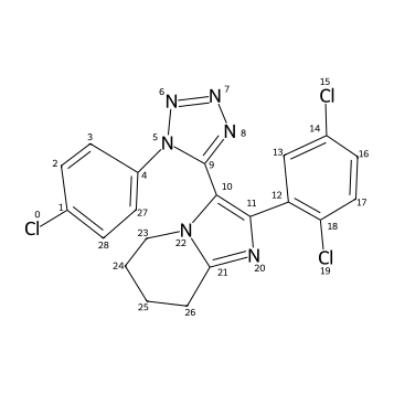 Clc1ccc(-n2nnnc2-c2c(-c3cc(Cl)ccc3Cl)nc3n2CCCC3)cc1